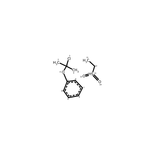 CC(C)(Cl)Oc1ccccc1.CC[SH](=O)=O